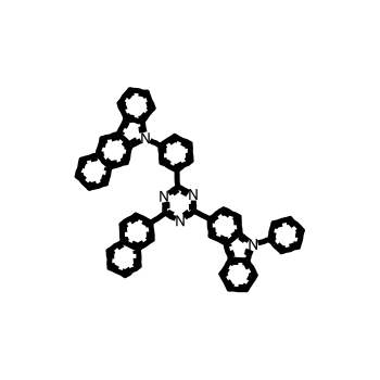 c1ccc(-n2c3ccccc3c3cc(-c4nc(-c5cccc(-n6c7ccccc7c7cc8ccccc8cc76)c5)nc(-c5ccc6ccccc6c5)n4)ccc32)cc1